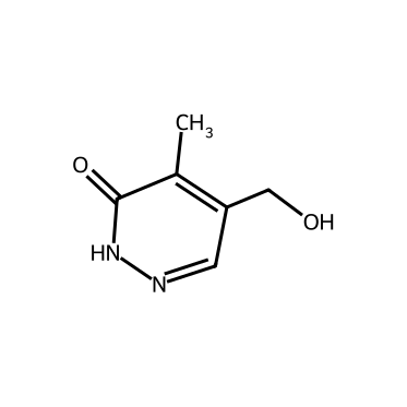 Cc1c(CO)cn[nH]c1=O